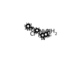 Nc1cc2c(Nc3ccc(OCc4ccccn4)c(Cl)c3)ncnc2cc1F